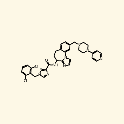 O=C(NC1CCc2ccc(CN3CCN(c4ccncc4)CC3)cc2-n2ccnc21)c1ncn(Cc2c(Cl)cccc2Cl)n1